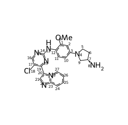 COc1cc(N2CC[C@@H](N)C2)ccc1Nc1ncc(Cl)c(-c2cnc3ccccn23)n1